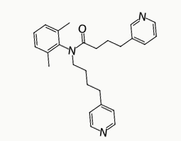 Cc1cccc(C)c1N(CCCCc1ccncc1)C(=O)CCCc1cccnc1